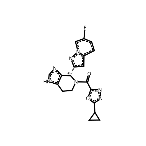 O=C(c1nnc(C2CC2)o1)N1CCc2[nH]cnc2[C@@H]1c1cc2ccc(F)cn2n1